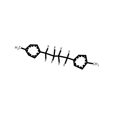 Cc1ccc(C(F)(F)C(F)(F)C(F)(F)C(F)(F)c2ccc(C)cc2)cc1